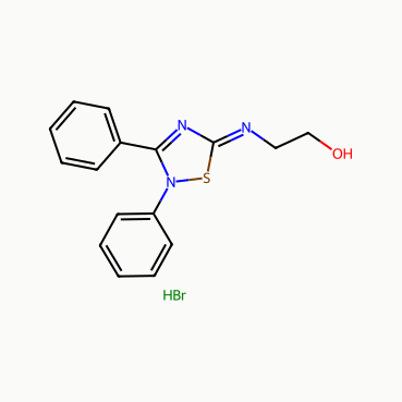 Br.OCC/N=c1/nc(-c2ccccc2)n(-c2ccccc2)s1